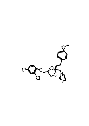 COc1ccc(CCC2(Cn3ccnc3)OCC(COc3ccc(Cl)cc3Cl)O2)cc1